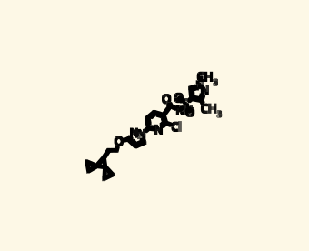 Cc1nn(C)cc1S(=O)(=O)NC(=O)c1ccc(-n2ccc(OCCC3C4(CC4)C34CC4)n2)nc1Cl